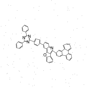 c1ccc(-c2nc(-c3ccccc3)nc(-c3ccc(-c4ccc5nc(-c6ccc7c8ccccc8c8ccccc8c7c6)c6c7ccccc7oc6c5c4)cc3)n2)cc1